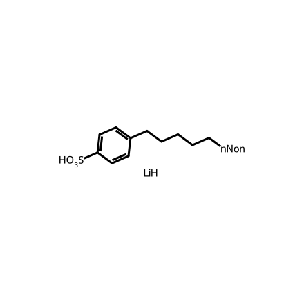 CCCCCCCCCCCCCCc1ccc(S(=O)(=O)O)cc1.[LiH]